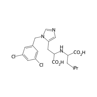 CC(C)CC(NC(Cc1cncn1Cc1cc(Cl)cc(Cl)c1)C(=O)O)C(=O)O